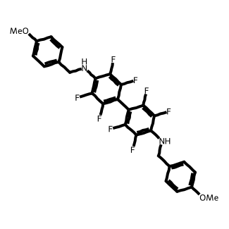 COc1ccc(CNc2c(F)c(F)c(-c3c(F)c(F)c(NCc4ccc(OC)cc4)c(F)c3F)c(F)c2F)cc1